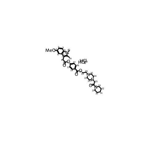 COc1ccc2c(c1)c(CC(=O)Oc1ccc(C(=O)OCCN3CCN(CC(=O)N4CCCCC4)CC3)cc1)c(C)n2C.Cl.Cl